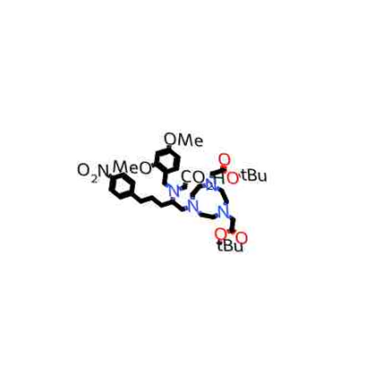 COc1ccc(CN(CC(=O)O)C(CCCc2ccc([N+](=O)[O-])cc2)CN2CCN(CC(=O)OC(C)(C)C)CCN(CC(=O)OC(C)(C)C)CC2)c(OC)c1